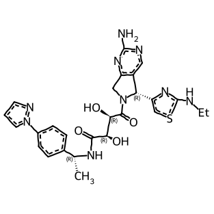 CCNc1nc([C@H]2c3cnc(N)nc3CN2C(=O)[C@H](O)[C@@H](O)C(=O)N[C@H](C)c2ccc(-n3cccn3)cc2)cs1